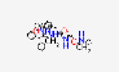 C=C(NC1CCC1)OC[C@@H]1CO[C@H](CCc2ccccc2NC(=C)[C@@H](NC(=O)OC)C(c2ccccc2)c2ccccc2)CN1